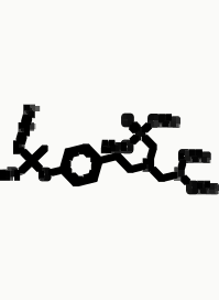 CCCC(C)(N=[N+]=[N-])Oc1ccc(CCN(CP(OC)OC)CP(=O)(OC)OC)cc1